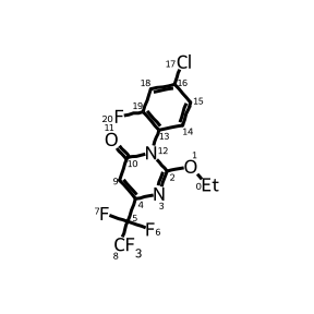 CCOc1nc(C(F)(F)C(F)(F)F)cc(=O)n1-c1c[c]c(Cl)cc1F